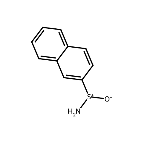 N[S+]([O-])c1ccc2ccccc2c1